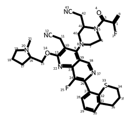 C=C(F)C(=O)N1CCN(c2c(CC#N)c(OCC3CCCN3C)nc3c(F)c(-c4cccc5c4SCCC5)ncc23)CC1CC#N